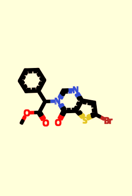 COC(=O)C(c1ccccc1)n1cnc2cc(Br)sc2c1=O